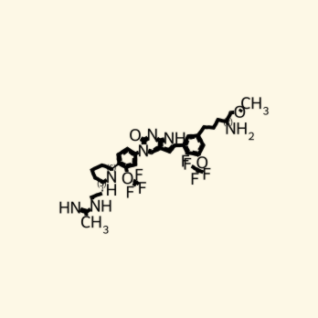 COC[C@H](N)CCCc1cc(OC(F)(F)F)c(F)c(-c2cc3cn(-c4ccc([C@@H]5CCC[C@@H](CCNC(C)=N)N5)c(OC(F)(F)F)c4)c(=O)nc3[nH]2)c1